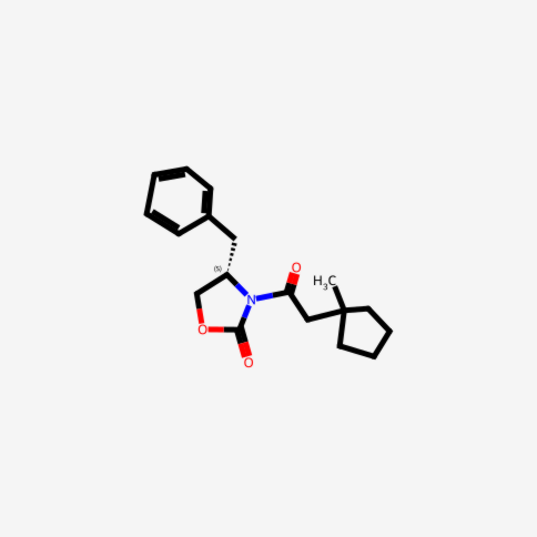 CC1(CC(=O)N2C(=O)OC[C@@H]2Cc2ccccc2)CCCC1